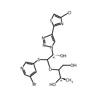 C[C@@H](O)C(CO)OC(Sc1cncc(Br)c1)[C@@H](O)n1cc(-c2nc(Cl)cs2)nn1